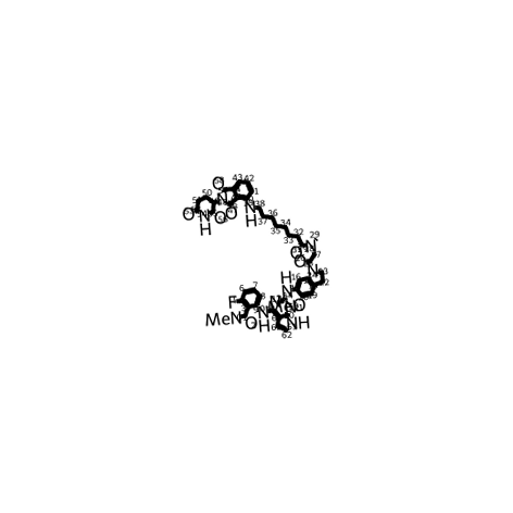 CNC(=O)c1c(F)cccc1Nc1nc(Nc2cc3c(cc2OC)CCN3C(=O)CN(C)C(=O)CCCCCCCNc2cccc3c2C(=O)N(C2CCC(=O)NC2=O)C3=O)nc2[nH]ccc12